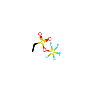 CCS(=O)(=O)OS(F)(F)(F)(F)F